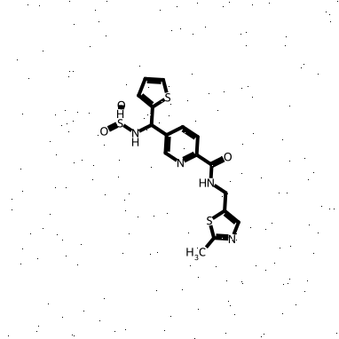 Cc1ncc(CNC(=O)c2ccc(C(N[SH](=O)=O)c3cccs3)cn2)s1